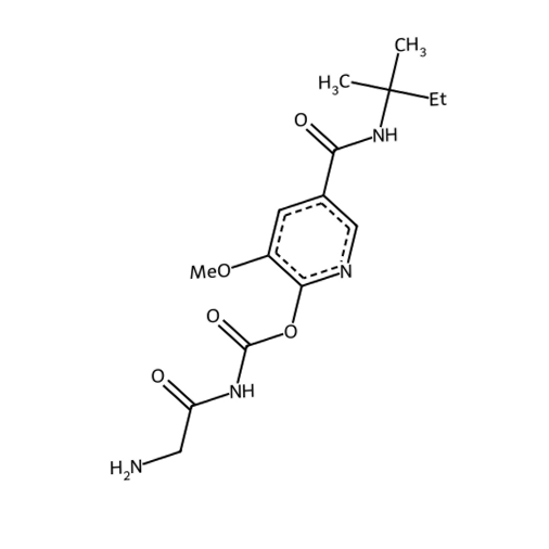 CCC(C)(C)NC(=O)c1cnc(OC(=O)NC(=O)CN)c(OC)c1